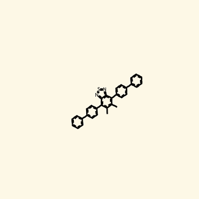 Cc1c(C)c(-c2ccc(-c3ccccc3)cc2)c2nsnc2c1-c1ccc(-c2ccccc2)cc1